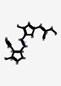 CO[SH](=O)=Nc1nc(C)c(/N=N/c2snc(C)c2C#N)s1